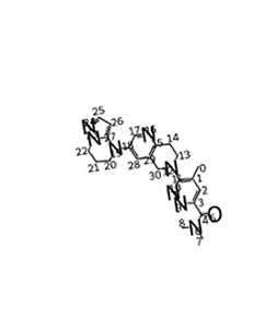 Cc1cc(C(=O)N(C)C)nnc1N1CCc2ncc(N3CCCn4nccc43)cc2C1